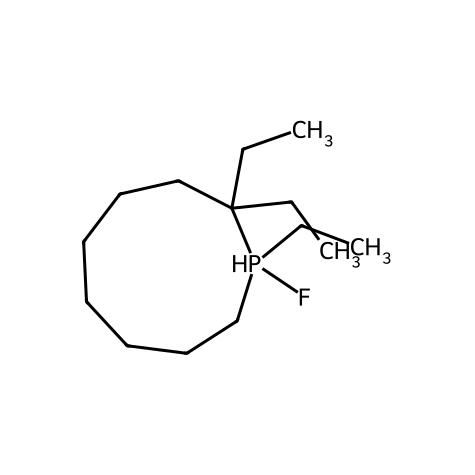 CCC1(CC)CCCCCCC[PH]1(F)CC